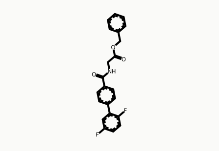 O=C(CNC(=O)c1ccc(-c2cc(F)ccc2F)cc1)OCc1ccccc1